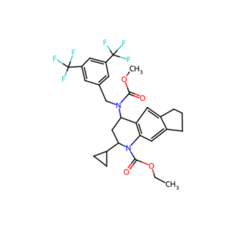 CCOC(=O)N1c2cc3c(cc2C(N(Cc2cc(C(F)(F)F)cc(C(F)(F)F)c2)C(=O)OC)CC1C1CC1)CCC3